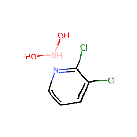 Clc1cccnc1Cl.OBO